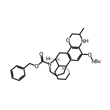 CCCCOc1cc2c(c3c1NC(C)CO3)C[C@H]1C3CCCC[C@@]23CCCN1C(=O)OCc1ccccc1